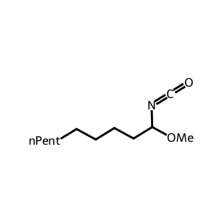 CCCCCCCCCC(N=C=O)OC